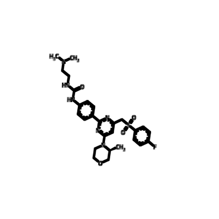 C[C@H]1COCCN1c1cc(CS(=O)(=O)c2ccc(F)cc2)nc(-c2ccc(NC(=O)NCCN(C)C)cc2)n1